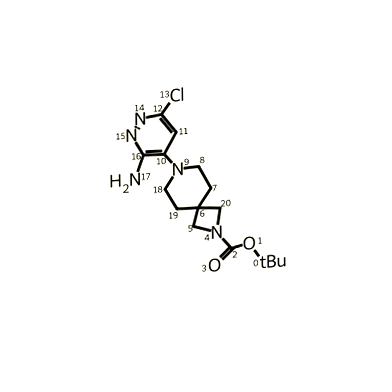 CC(C)(C)OC(=O)N1CC2(CCN(c3cc(Cl)nnc3N)CC2)C1